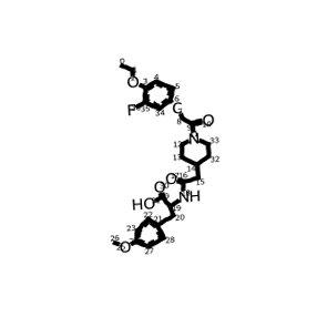 CCOc1ccc(CCC(=O)N2CCC(CC(=O)NC(Cc3ccc(OC)cc3)C(=O)O)CC2)cc1F